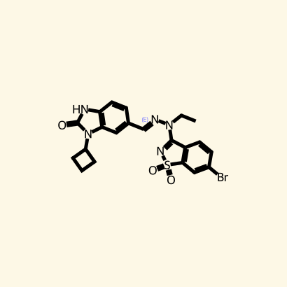 CCN(/N=C/c1ccc2[nH]c(=O)n(C3CCC3)c2c1)C1=NS(=O)(=O)c2cc(Br)ccc21